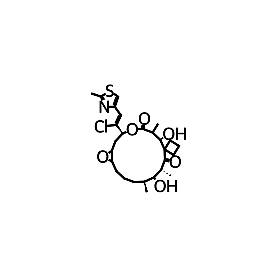 Cc1nc(C=C(Cl)[C@@H]2CC3OC3CCC[C@H](C)[C@H](O)[C@@H](C)C(=O)C3(CCC3)[C@@H](O)C(C)C(=O)O2)cs1